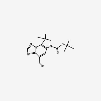 CC(C)(C)OC(=O)N1CC(C)(C)c2c1cc(CBr)c1ncnn21